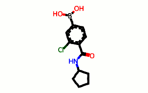 O=C(NC1CCCC1)c1ccc(B(O)O)cc1Cl